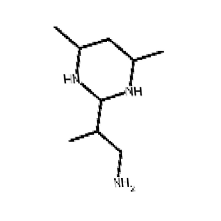 CC1CC(C)NC(C(C)CN)N1